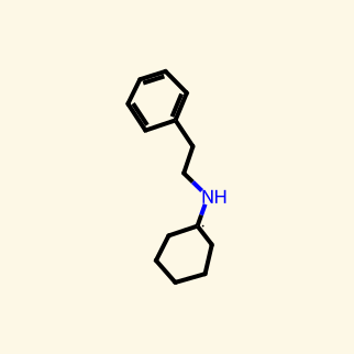 c1ccc(CCN[C]2CCCCC2)cc1